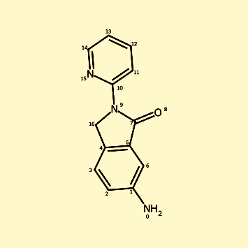 Nc1ccc2c(c1)C(=O)N(c1ccccn1)C2